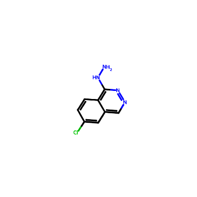 NNc1nncc2cc(Cl)ccc12